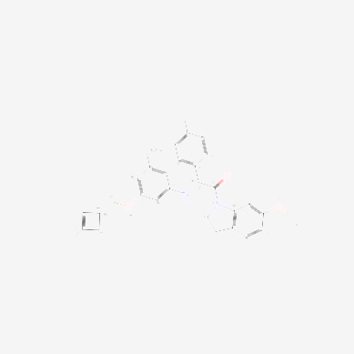 COc1cc(N[C@@H](C(=O)N2CCc3ccc(OC(F)(F)F)cc32)c2ccc(Cl)cc2)cc(OC[C@H]2C=C(C(=O)O)C2)c1